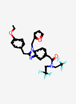 CCOc1ccc(Cc2nc3cc(C(=O)N(CC(F)(F)F)CC(F)(F)F)ccc3n2Cc2ccco2)cc1